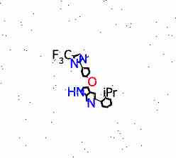 CC(C)c1ccccc1-c1cc2c(Oc3ccc(-c4nc(C(F)(F)F)cn4C)cc3)c[nH]c2cn1